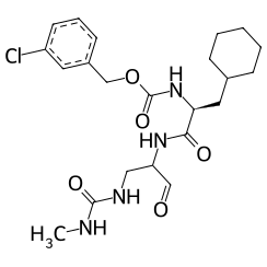 CNC(=O)NCC(C=O)NC(=O)[C@H](CC1CCCCC1)NC(=O)OCc1cccc(Cl)c1